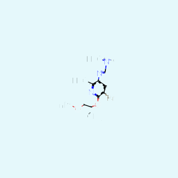 CCCOC[C@@H](C)Oc1nc(C)c(/N=C/N(C)CC)cc1Br